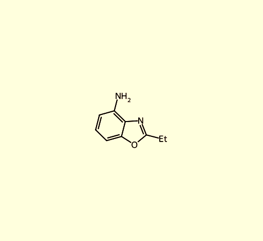 CCc1nc2c(N)cccc2o1